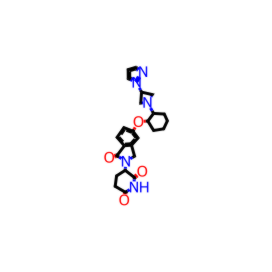 O=C1CCC(N2Cc3cc(OC4CCCCC4N4CC(n5cccn5)C4)ccc3C2=O)C(=O)N1